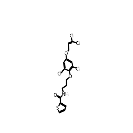 O=C(NCCCOc1c(Cl)cc(OCC=C(Cl)Cl)cc1Cl)c1cccs1